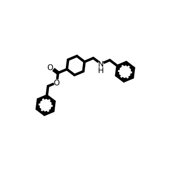 O=C(OCc1ccccc1)C1CCC(CNCc2ccccc2)CC1